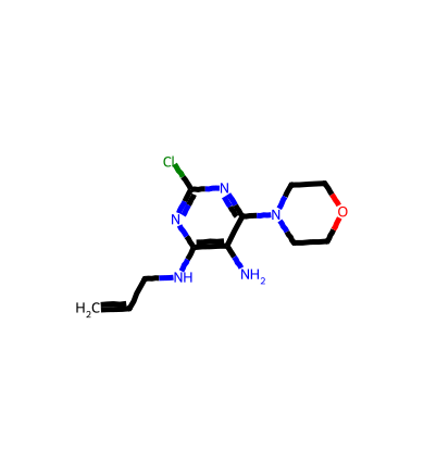 C=CCNc1nc(Cl)nc(N2CCOCC2)c1N